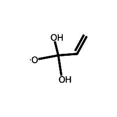 C=CC([O])(O)O